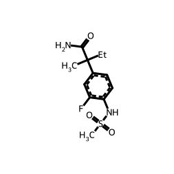 CCC(C)(C(N)=O)c1ccc(NS(C)(=O)=O)c(F)c1